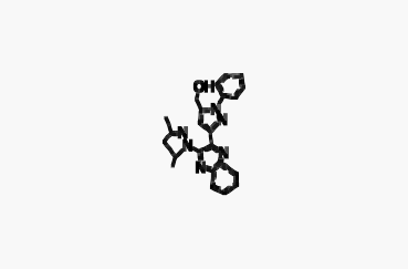 CC1=NN(c2nc3ccccc3nc2-c2cc(CO)n(-c3ccccc3)n2)C(C)C1